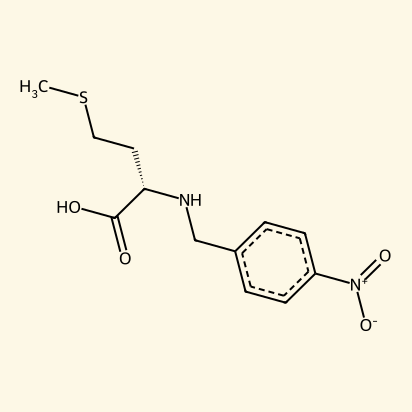 CSCC[C@H](NCc1ccc([N+](=O)[O-])cc1)C(=O)O